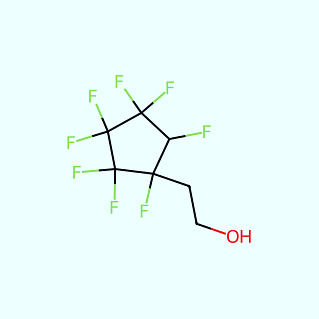 OCCC1(F)C(F)C(F)(F)C(F)(F)C1(F)F